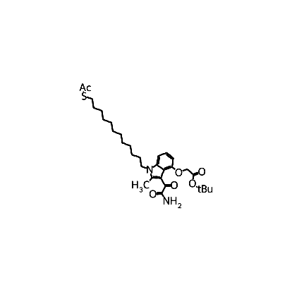 CC(=O)SCCCCCCCCCCCCn1c(C)c(C(=O)C(N)=O)c2c(OCC(=O)OC(C)(C)C)cccc21